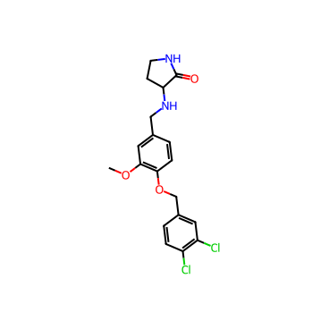 COc1cc(CNC2CCNC2=O)ccc1OCc1ccc(Cl)c(Cl)c1